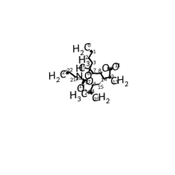 C=CCC[C@@]1(C)O[C@@H]1[C@H]1OC(=O)C(=C)[C@@H]1C[C@H](OC(=O)NCC=C)C(=C)C